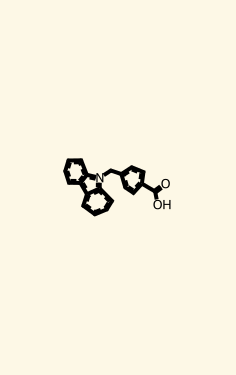 O=C(O)c1ccc(Cn2c3ccccc3c3ccccc32)cc1